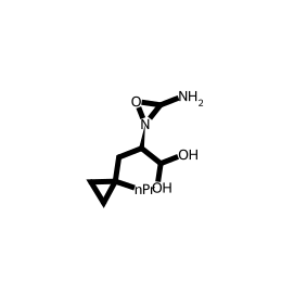 CCCC1(CC(C(O)O)[N@@]2OC2N)CC1